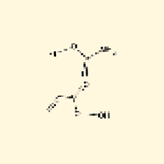 C=CC(=O)OO.CCOC(N)=O